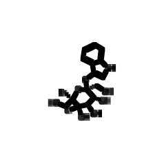 OC[C@@]1(Oc2c[nH]c3ccccc23)O[C@](Br)(CO)[C@@](O)(Cl)[C@H](O)[C@H]1O